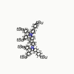 CC(C)(C)c1ccc(-c2ccc3c(c2)c(-c2ccc(C(C)(C)C)cc2)c(-c2ccc(C(C)(C)C)cc2)n3-c2ccc3c(c2)C(C)(C)c2cc(-n4c(-c5ccc(C(C)(C)C)cc5)c(-c5ccc(C(C)(C)C)cc5)c5cc(-c6ccc(C(C)(C)C)cc6)ccc54)ccc2-3)cc1